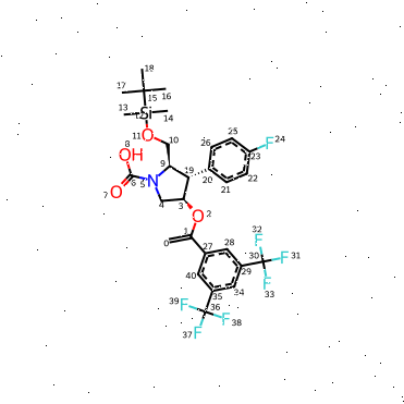 C=C(O[C@H]1CN(C(=O)O)[C@@H](CO[Si](C)(C)C(C)(C)C)[C@@H]1c1ccc(F)cc1)c1cc(C(F)(F)F)cc(C(F)(F)F)c1